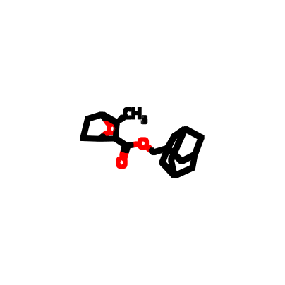 C[C@@H]1C2CCC(O2)C1C(=O)OCC12CC3CC(CC(C3)C1)C2